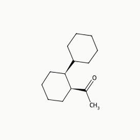 CC(=O)[C@H]1CCCC[C@H]1C1CCCCC1